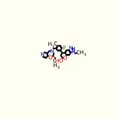 CC[C@@H]1CN(Cc2cc(C(CC(=O)O)c3ccc4c(nnn4CC)c3F)ccc2C)Cc2cnccc2O1